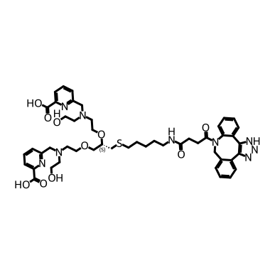 O=C(CCC(=O)N1Cc2ccccc2-c2nn[nH]c2-c2ccccc21)NCCCCCSC[C@H](COCCN(CCO)Cc1cccc(C(=O)O)n1)OCCN(CCO)Cc1cccc(C(=O)O)n1